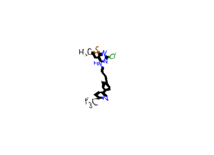 Cc1cc2c(NCCCc3ccc(-c4ccc(C(F)(F)F)nc4)cc3)nc(Cl)nc2s1